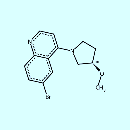 CO[C@@H]1CCN(c2ccnc3ccc(Br)cc23)C1